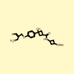 COC1CC(NC(=O)C2CC(C)(c3ccc(OC/C(=C/F)CN)cc3)C2)C1